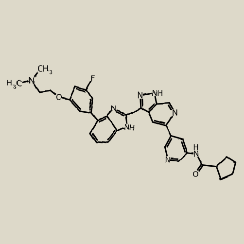 CN(C)CCOc1cc(F)cc(-c2cccc3[nH]c(-c4n[nH]c5cnc(-c6cncc(NC(=O)C7CCCC7)c6)cc45)nc23)c1